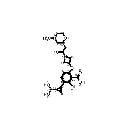 CN1CCO[C@@H](CC(=O)N2CC(Oc3ccc(C4C[C@H]4B(O)O)c(O)c3C(=O)O)C2)C1